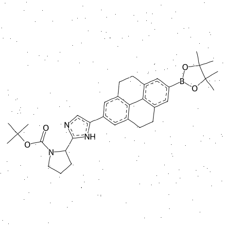 CC(C)(C)OC(=O)N1CCCC1c1ncc(-c2cc3c4c(c2)CCc2cc(B5OC(C)(C)C(C)(C)O5)cc(c2-4)CC3)[nH]1